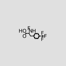 O=C(O)C(Cc1ccc(C(F)(F)F)cc1)NF